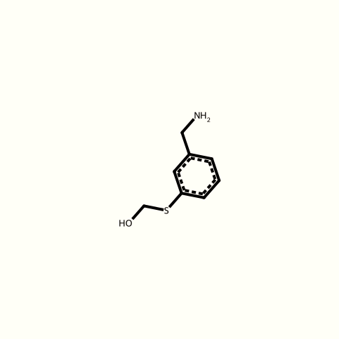 NCc1cccc(SCO)c1